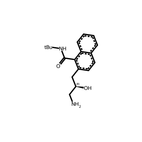 CC(C)(C)NC(=O)c1c(C[C@@H](O)CN)ccc2ccccc12